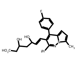 Cc1ccc2c(-c3ccc(F)cc3)c(/C=C/C(O)CC(O)CC(=O)O)c(C(C)C)nn12